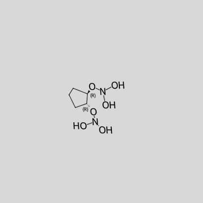 ON(O)O[C@@H]1CCC[C@H]1ON(O)O